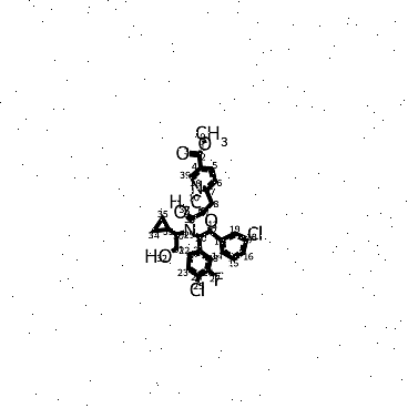 COC(=O)c1ccc(C[C@]2(C)OC(c3cccc(Cl)c3)C(c3ccc(Cl)c(F)c3)N(C(CO)C3CC3)C2=O)nc1